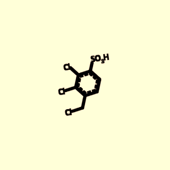 O=S(=O)(O)c1ccc(CCl)c(Cl)c1Cl